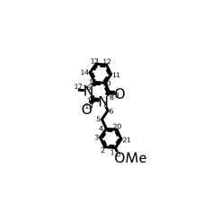 COc1ccc(CCn2c(=O)c3ccccc3n(C)c2=O)cc1